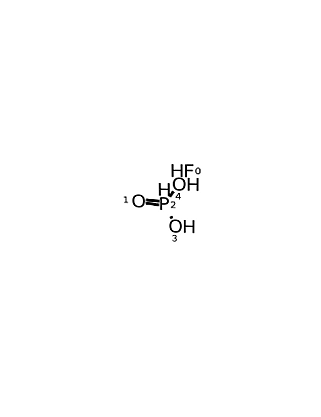 F.O=[PH](O)O